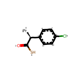 CC(C)[C@H](C(=O)S)c1ccc(Cl)cc1